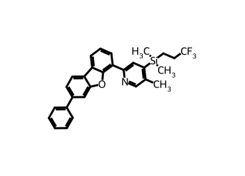 Cc1cnc(-c2cccc3c2oc2cc(-c4ccccc4)ccc23)cc1[Si](C)(C)CCC(F)(F)F